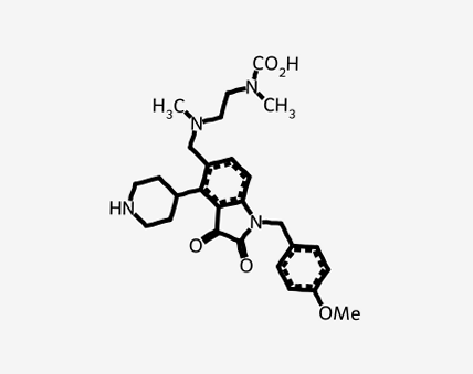 COc1ccc(CN2C(=O)C(=O)c3c2ccc(CN(C)CCN(C)C(=O)O)c3C2CCNCC2)cc1